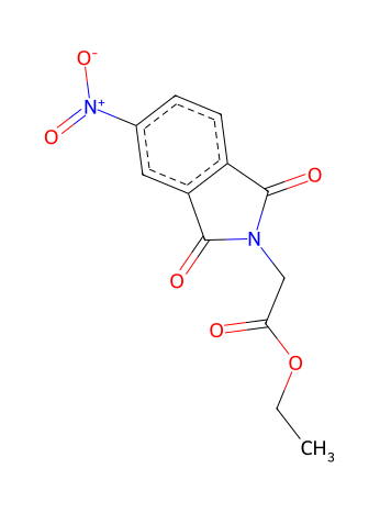 CCOC(=O)CN1C(=O)c2ccc([N+](=O)[O-])cc2C1=O